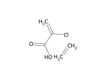 C=C.C=C(Cl)C(=O)O